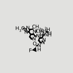 [2H]C([2H])([2H])NC(=O)c1nnc(NC(=O)[C@@H]2C[C@@H]2F)cc1Nc1nccc2c1N(C)[C@H](C)c1nn(C)nc1-2